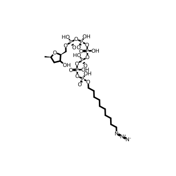 C[C@@H]1CC(O)[C@H](COP(=O)(O)OP(=O)(O)OP(=O)(O)OP(=O)(O)OP(=O)(O)OP(=O)(O)OCCCCCCCCCCN=[N+]=[N-])O1